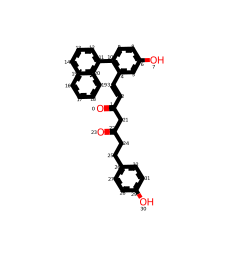 O=C(C=Cc1cc(O)ccc1-c1cccc2ccccc12)CC(=O)CCc1ccc(O)cc1